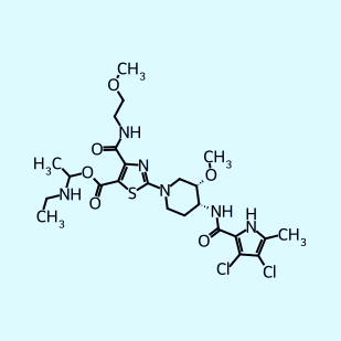 CCNC(C)OC(=O)c1sc(N2CC[C@@H](NC(=O)c3[nH]c(C)c(Cl)c3Cl)[C@@H](OC)C2)nc1C(=O)NCCOC